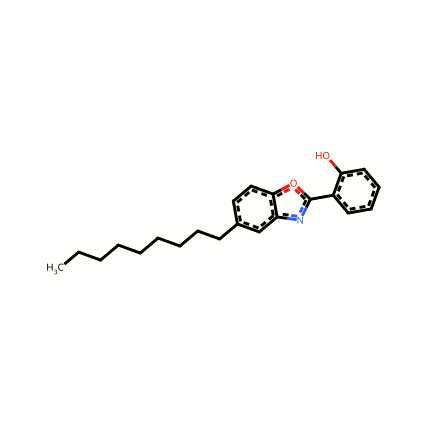 CCCCCCCCCc1ccc2oc(-c3ccccc3O)nc2c1